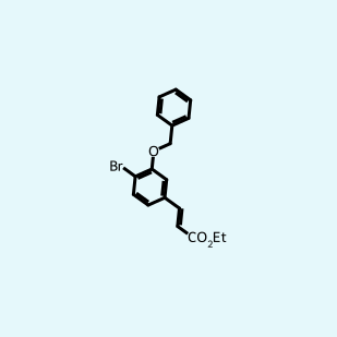 CCOC(=O)/C=C/c1ccc(Br)c(OCc2ccccc2)c1